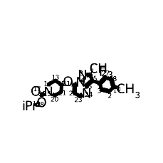 Cc1ccc(-c2c(C)nn3c(OC4CCN(C(=O)OC(C)C)CC4)ccnc23)c(F)c1